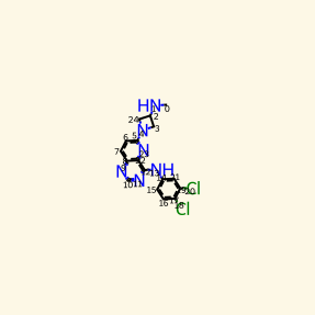 CNC1CN(c2ccc3ncnc(Nc4ccc(Cl)c(Cl)c4)c3n2)C1